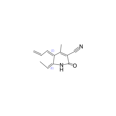 C=C/C=c1/c(C)c(C#N)c(=O)[nH]/c1=C/C